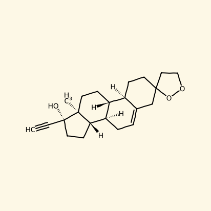 C#C[C@]1(O)CC[C@H]2[C@@H]3CC=C4CC5(CCOO5)CC[C@@H]4[C@H]3CC[C@@]21C